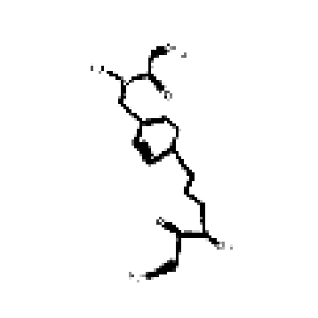 C=CC(=O)C(C)CCCC1C=CC(CN(C)C(=O)C=C)=CC1